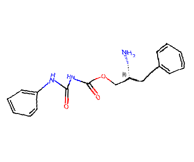 N[C@@H](COC(=O)NC(=O)Nc1ccccc1)Cc1ccccc1